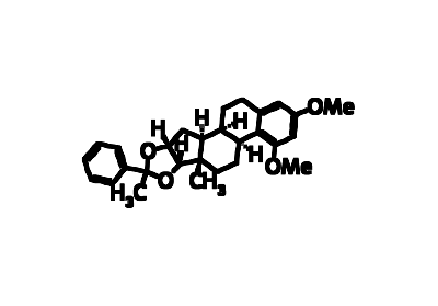 COc1cc2c(c(OC)c1)[C@H]1CC[C@]3(C)[C@@H]4OC(C)(c5ccccc5)O[C@@H]4C[C@H]3[C@H]1CC2